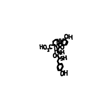 O=C(NCC(=O)C1(c2cccc(O)c2)NCCC(C(=O)O)N1)C(S)Cc1ccc(O)cc1